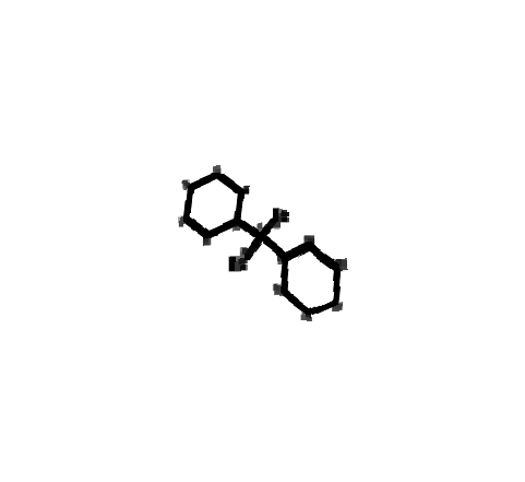 CCC(CC)(C1CCCCC1)C1CCCCC1